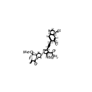 C=C(F)C(=O)N1C[C@@H](n2nc(C#Cc3cc4ncn(CC)c4cc3Cl)c(C(N)=O)c2NC)C[C@@H]1COC